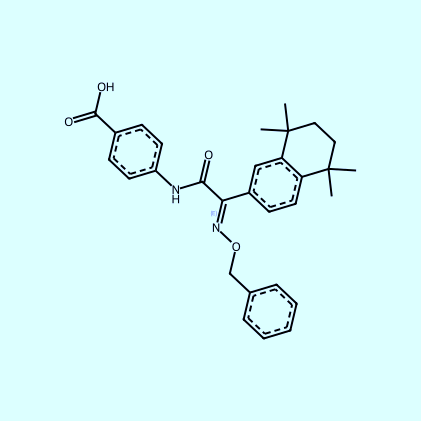 CC1(C)CCC(C)(C)c2cc(/C(=N\OCc3ccccc3)C(=O)Nc3ccc(C(=O)O)cc3)ccc21